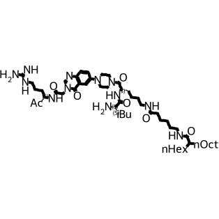 CCCCCCCCC(CCCCCC)C(=O)NCCCCCC(=O)NCCCC[C@H](NC(=O)[C@@H](N)[C@@H](C)CC)C(=O)N1CCN(c2ccc3ncn(CC(=O)N[C@@H](CCCNC(=N)N)C(C)=O)c(=O)c3c2)CC1